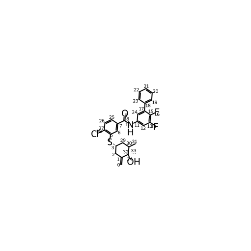 C=C1C[C@H](Sc2cc(C(=O)Nc3cc(F)c(F)c(-c4ccccc4)c3)ccc2Cl)CC(C)[C@@]1(C)O